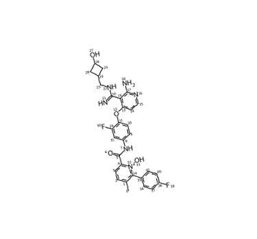 Cc1ccc(C(=O)Nc2ccc(Oc3ccnc(N)c3C(=N)NCC3CC(O)C3)c(F)c2)[n+](O)c1-c1ccc(F)cc1